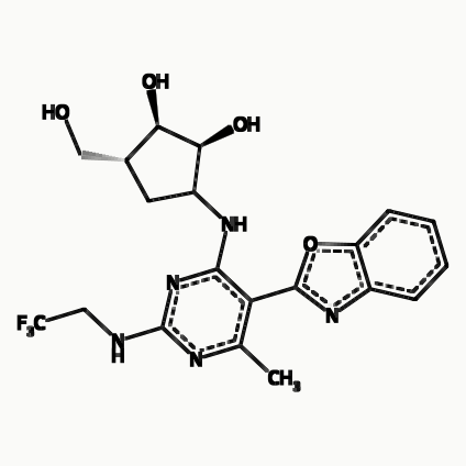 Cc1nc(NCC(F)(F)F)nc(NC2C[C@H](CO)[C@@H](O)[C@H]2O)c1-c1nc2ccccc2o1